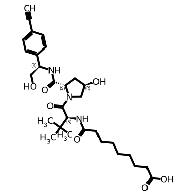 C#Cc1ccc([C@H](CO)NC(=O)[C@@H]2C[C@@H](O)CN2C(=O)[C@@H](NC(=O)CCCCCCCC(=O)O)C(C)(C)C)cc1